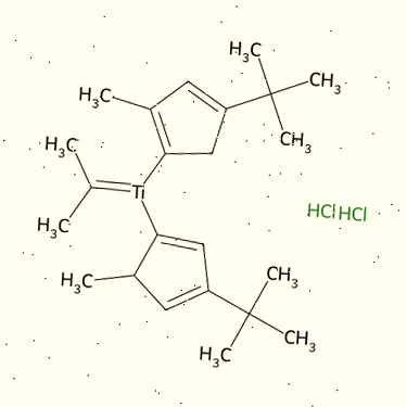 CC1=[C]([Ti]([C]2=CC(C(C)(C)C)=CC2C)=[C](C)C)CC(C(C)(C)C)=C1.Cl.Cl